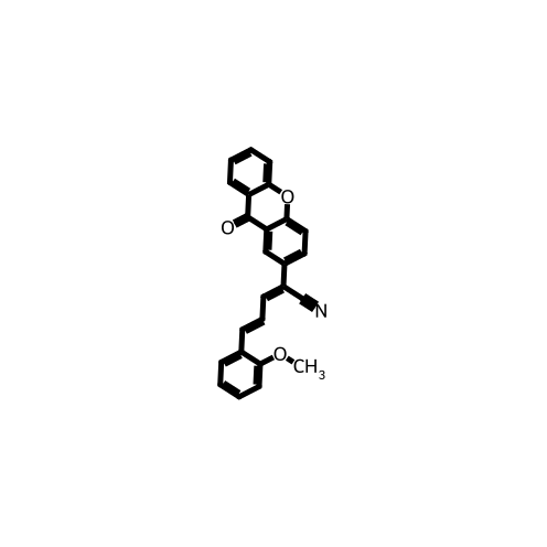 COc1ccccc1C=CC=C(C#N)c1ccc2oc3ccccc3c(=O)c2c1